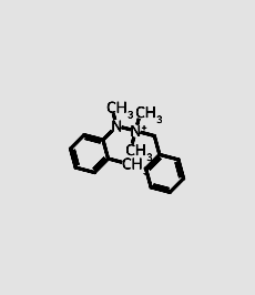 Cc1ccccc1N(C)[N+](C)(C)Cc1ccccc1